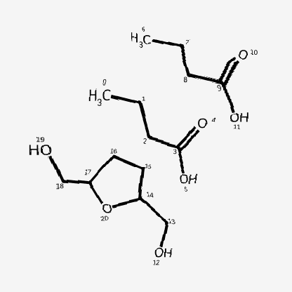 CCCC(=O)O.CCCC(=O)O.OCC1CCC(CO)O1